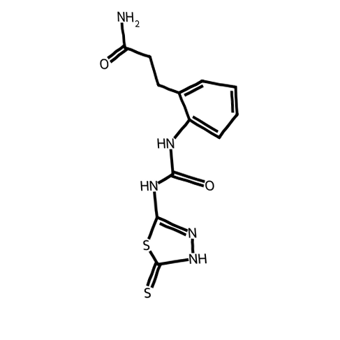 NC(=O)CCc1ccccc1NC(=O)Nc1n[nH]c(=S)s1